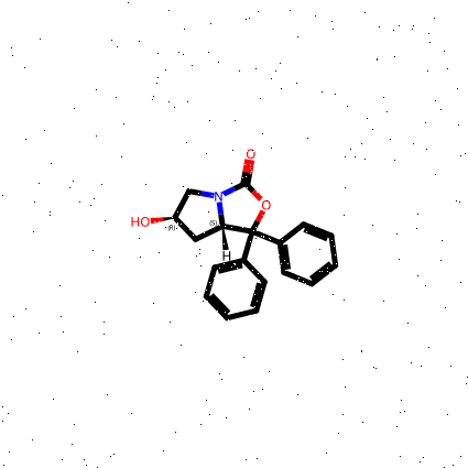 O=C1OC(c2ccccc2)(c2ccccc2)[C@@H]2C[C@@H](O)CN12